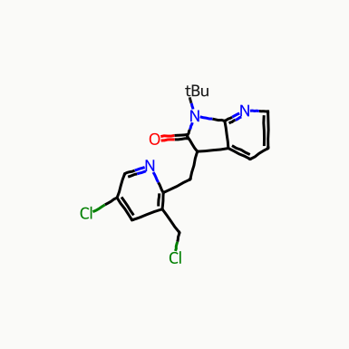 CC(C)(C)N1C(=O)C(Cc2ncc(Cl)cc2CCl)c2cccnc21